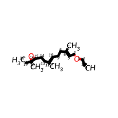 C#CCOCC=C(C)CCC=C(C)CCC1OC1(C)CC